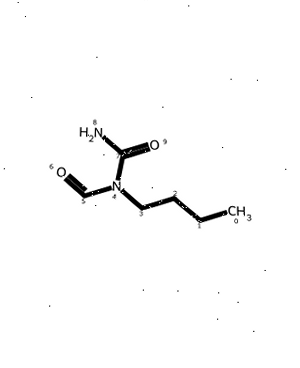 CCCCN(C=O)C(N)=O